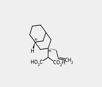 C=CC[C@@]1(C(C(=O)O)C(=O)O)CC2CCC[C@H](C2)C1